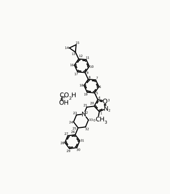 Cc1noc(-c2ccc(-c3ccc(C4CC4)cc3)cc2)c1CN1CCC(c2ccccc2)CC1.O=C(O)O